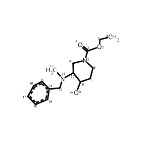 CCOC(=O)N1CCC(O)C(N(C)Cc2ccccc2)C1